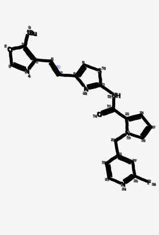 CC(C)(C)c1ocnc1/C=C/c1csc(NC(=O)c2cccn2Cc2ccnc(F)c2)n1